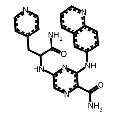 NC(=O)c1ncc(NC(Cc2ccncc2)C(N)=O)nc1Nc1ccc2ncccc2c1